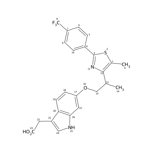 Cc1sc(-c2ccc(C(F)(F)F)cc2)nc1C(C)COc1ccc2c(CC(=O)O)c[nH]c2c1